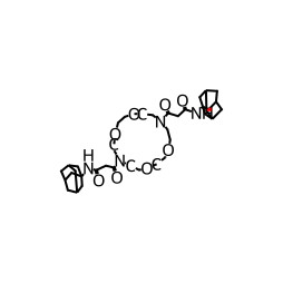 O=C(CC(=O)N1CCOCCOCCN(C(=O)CC(=O)NC23CC4CC(CC(C4)C2)C3)CCOCCOCC1)NC12CC3CC(CC(C3)C1)C2